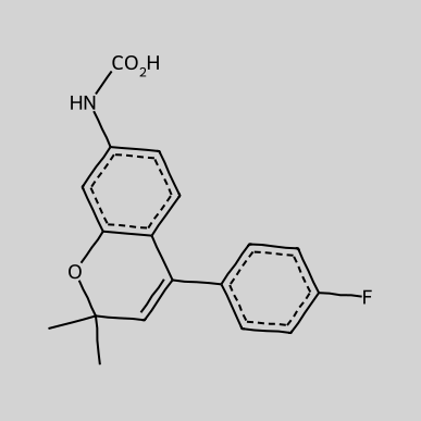 CC1(C)C=C(c2ccc(F)cc2)c2ccc(NC(=O)O)cc2O1